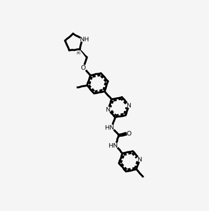 Cc1ccc(NC(=O)Nc2cncc(-c3ccc(OC[C@H]4CCCN4)c(C)c3)n2)cn1